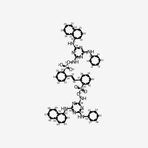 O=S(=O)(ONc1nc(Nc2ccccc2)nc(Nc2cccc3ccccc23)n1)c1ccccc1C=Cc1ccccc1S(=O)(=O)ONc1nc(Nc2ccccc2)nc(Nc2cccc3ccccc23)n1